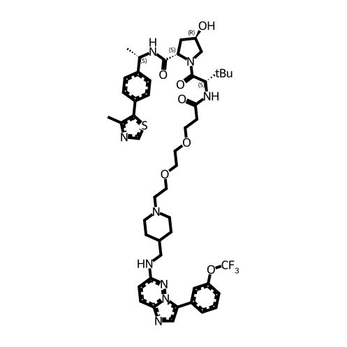 Cc1ncsc1-c1ccc([C@H](C)NC(=O)[C@@H]2C[C@@H](O)CN2C(=O)[C@@H](NC(=O)CCOCCOCCN2CCC(CNc3ccc4ncc(-c5cccc(OC(F)(F)F)c5)n4n3)CC2)C(C)(C)C)cc1